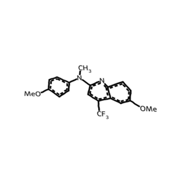 COc1ccc(N(C)c2cc(C(F)(F)F)c3cc(OC)ccc3n2)cc1